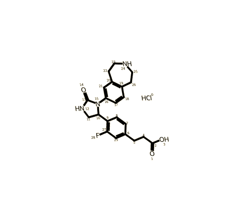 Cl.O=C(O)CCc1ccc(C2CNC(=O)N2c2ccc3c(c2)CCNCC3)c(F)c1